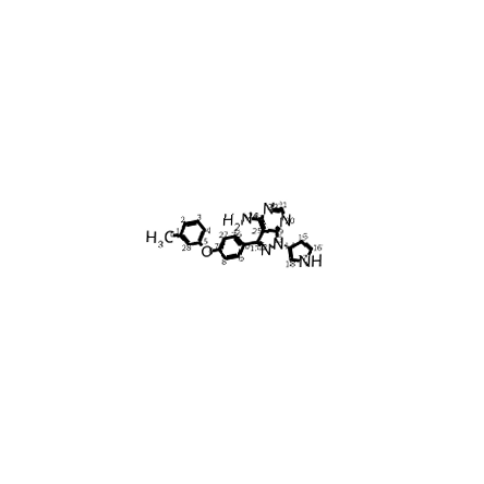 Cc1cccc(Oc2ccc(-c3nn([C@@H]4CCNC4)c4ncnc(N)c34)cc2)c1